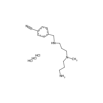 CN(CCCN)CCCNCc1ccc(C#N)cc1.Cl.Cl.Cl